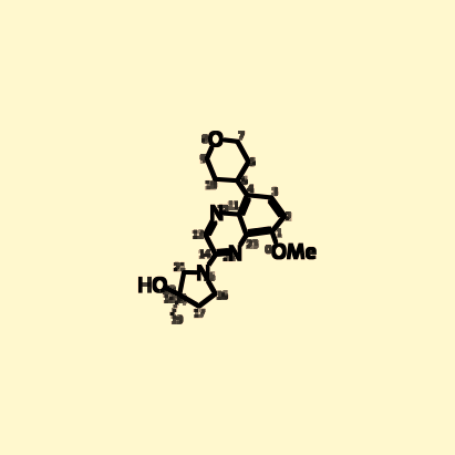 COc1ccc(C2CCOCC2)c2ncc(N3CC[C@@](C)(O)C3)nc12